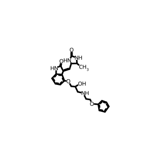 CC1NC(=O)NC1C=C1C(=O)Nc2cccc(OCC(O)CNCCOc3ccccc3)c21